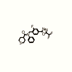 O=C(C1CCSCC1)N(Cc1ccc(-c2nnc(C(F)F)o2)cc1F)c1ccccc1